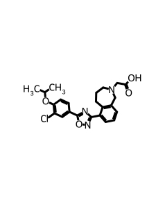 CC(C)Oc1ccc(-c2nc(-c3cccc4c3CCCN(CC(=O)O)C4)no2)cc1Cl